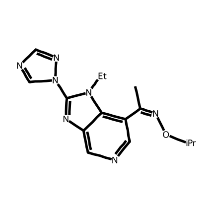 CCn1c(-n2cncn2)nc2cncc(/C(C)=N\OC(C)C)c21